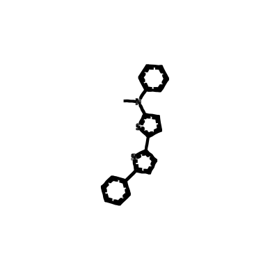 CN(c1ccccc1)c1ccc(-c2ccc(-c3ccccc3)s2)s1